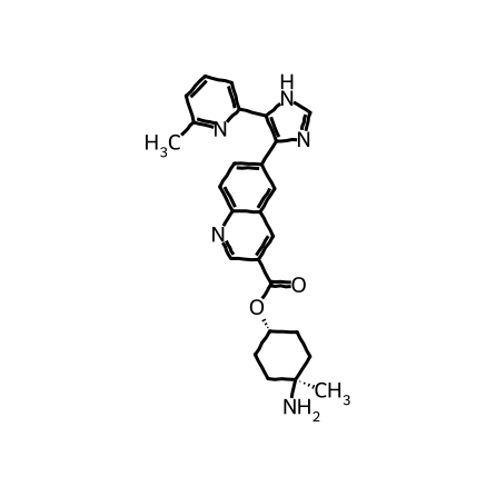 Cc1cccc(-c2[nH]cnc2-c2ccc3ncc(C(=O)O[C@H]4CC[C@](C)(N)CC4)cc3c2)n1